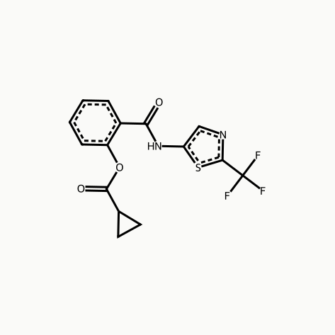 O=C(Nc1cnc(C(F)(F)F)s1)c1ccccc1OC(=O)C1CC1